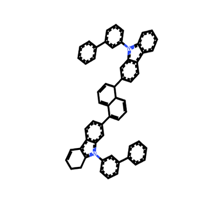 C1=CC2C(=CC=CC2c2ccc3c4ccccc4n(-c4cccc(-c5ccccc5)c4)c3c2)C(c2ccc3c4c(n(-c5cccc(-c6ccccc6)c5)c3c2)CCC=C4)=C1